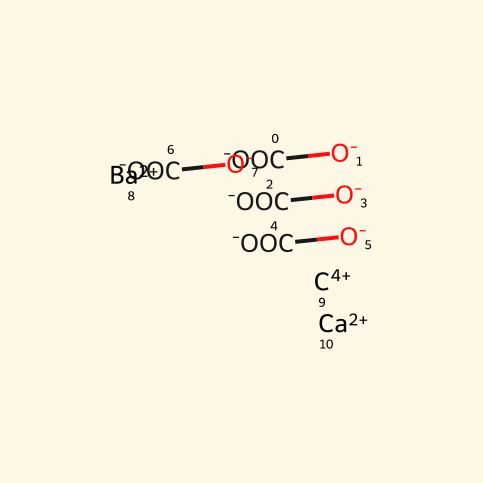 O=C([O-])[O-].O=C([O-])[O-].O=C([O-])[O-].O=C([O-])[O-].[Ba+2].[C+4].[Ca+2]